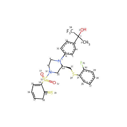 CC(O)(c1ccc(N2CCN(S(=O)(=O)C3=CC=CCC3=S)C[C@@H]2CSc2ccccc2F)cc1)C(F)(F)F